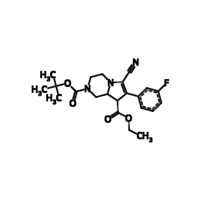 CCOC(=O)C1C(c2cccc(F)c2)=C(C#N)N2CCN(C(=O)OC(C)(C)C)CC12